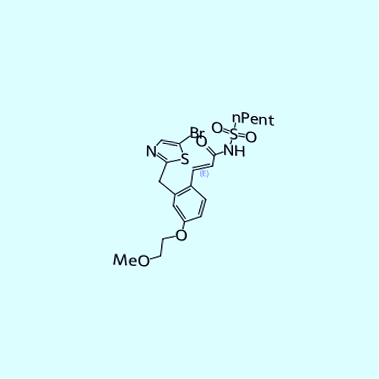 CCCCCS(=O)(=O)NC(=O)/C=C/c1ccc(OCCOC)cc1Cc1ncc(Br)s1